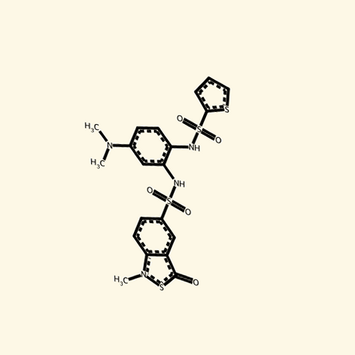 CN(C)c1ccc(NS(=O)(=O)c2cccs2)c(NS(=O)(=O)c2ccc3c(c2)c(=O)sn3C)c1